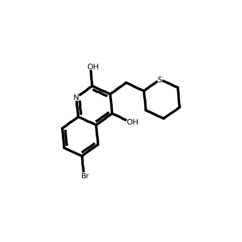 Oc1nc2ccc(Br)cc2c(O)c1CC1CCCCS1